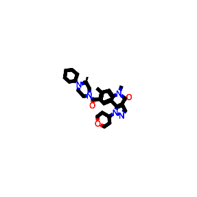 Cc1cc2c(cc1C(=O)N1CCN(C3CCCCC3)[C@@H](C)C1)c1c(cnn1C1CCOCC1)c(=O)n2C